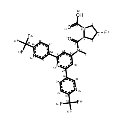 CN(C(=O)[C@@H]1C[C@@H](F)CN1C(=O)O)c1cc(-c2ccc(C(F)(F)F)nc2)nc(-c2ccc(C(F)(F)F)nc2)c1